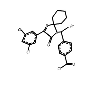 CCCC(c1ccc(C(=O)Cl)cc1)N1C(=O)C(c2cc(Cl)cc(Cl)c2)=NC12CCCCC2